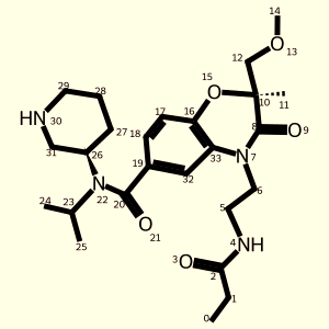 CCC(=O)NCCN1C(=O)[C@](C)(COC)Oc2ccc(C(=O)N(C(C)C)[C@@H]3CCCNC3)cc21